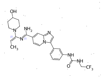 C/C=C(\N=C(/N)c1ccn2c(-c3cccc(NC(=O)NCC(F)(F)F)c3)cnc2c1)N1CCC(O)CC1